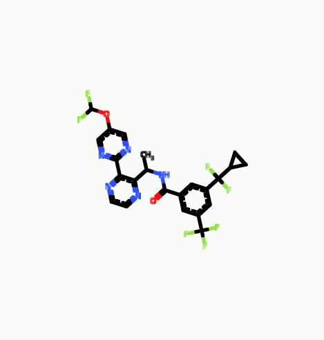 CC(NC(=O)c1cc(C(F)(F)F)cc(C(F)(F)C2CC2)c1)c1nccnc1-c1ncc(OC(F)F)cn1